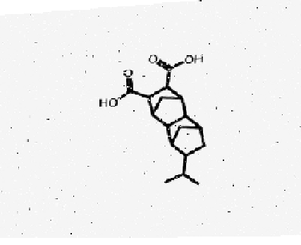 CC(C)C1CC2CC1C1C3CC(C(C(=O)O)C3C(=O)O)C21